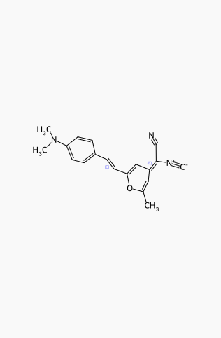 [C-]#[N+]/C(C#N)=C1\C=C(C)OC(/C=C/c2ccc(N(C)C)cc2)=C1